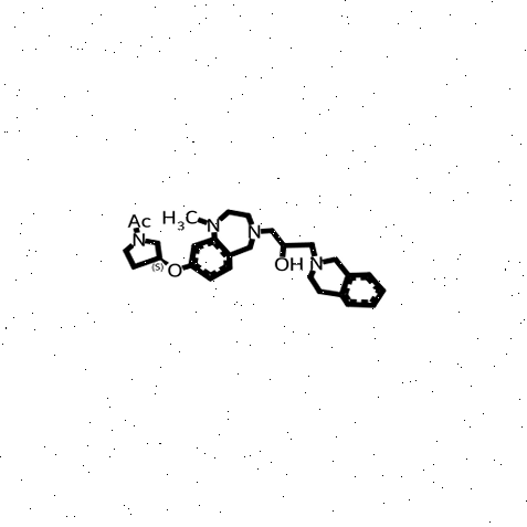 CC(=O)N1CC[C@H](Oc2ccc3c(c2)N(C)CCN(CC(O)CN2CCc4ccccc4C2)C3)C1